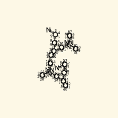 N#Cc1cccc(-c2ccc(-c3cc4ccc(-c5ccc(-c6nc(-c7ccccc7)nc(-c7ccc(-c8cc9ccccc9cc8-c8ccc(-c9ccccc9C#N)cc8)cc7)n6)cc5)cc4cc3-c3ccc(-c4nc(-c5ccccc5)nc(-c5ccccc5)n4)cc3)cc2)c1